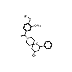 COc1cc(C(=O)N2CCC3(CC2)CC(O)CC(c2ccccc2)O3)ccc1OC(C)C